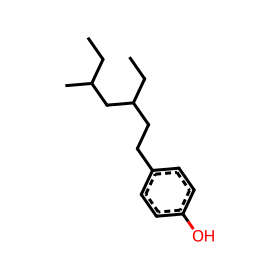 CCC(C)CC(CC)CCc1ccc(O)cc1